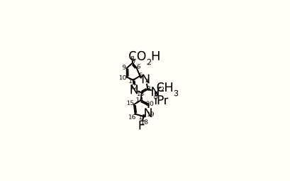 CC(C)N(C)c1nc2cc(C(=O)O)ccc2nc1-c1ccc(F)nc1